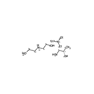 CC(O)CN.CCN(CC)CC.OCCNCCO